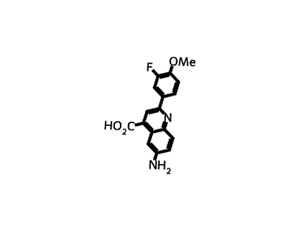 COc1ccc(-c2cc(C(=O)O)c3cc(N)ccc3n2)cc1F